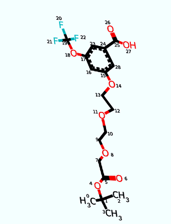 CC(C)(C)OC(=O)COCCOCCOc1cc(OC(F)(F)F)cc(C(=O)O)c1